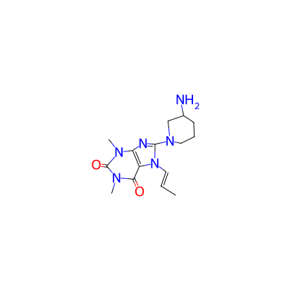 CC=Cn1c(N2CCCC(N)C2)nc2c1c(=O)n(C)c(=O)n2C